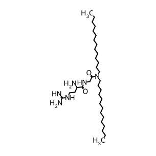 CCCCCCCCCCCCCCN(CCCCCCCCCCCCCC)C(=O)CNC(=O)C(N)CCNC(=N)N